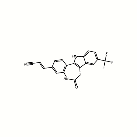 N#C/C=C/c1ccc2c(c1)NC(=O)Cc1c-2[nH]c2ccc(C(F)(F)F)cc12